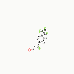 O=CC[C@H](F)c1ccc(C(F)(F)F)cc1